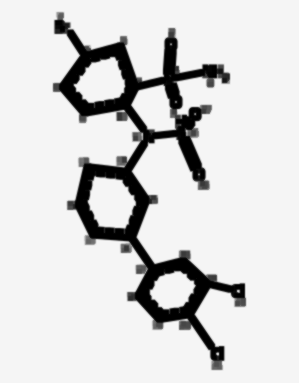 NS(=O)(=O)c1cc(Br)ccc1N(c1cccc(-c2ccc(Cl)c(Cl)c2)c1)[SH](=O)=O